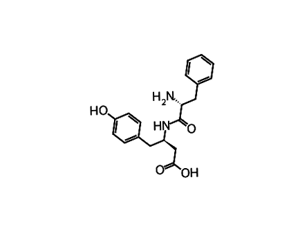 N[C@H](Cc1ccccc1)C(=O)N[C@@H](CC(=O)O)Cc1ccc(O)cc1